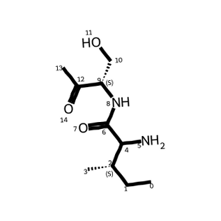 CC[C@H](C)C(N)C(=O)N[C@@H](CO)C(C)=O